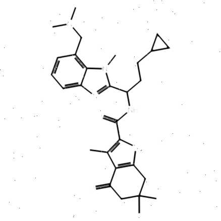 Cc1c(C(=O)NC(CCC2CC2)c2nc3cccc(CN(C)C)c3n2C)[nH]c2c1C(=O)CC(C)(C)C2